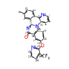 Cc1ccc(-c2ncccc2-n2cnc(=O)c3cc(Oc4ncccc4C(F)(F)F)ccc32)cc1